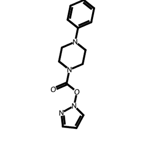 O=C(On1cccn1)N1CCN(c2ccccc2)CC1